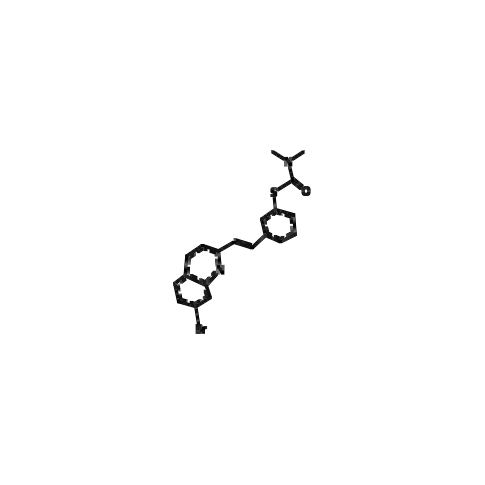 CN(C)C(=O)Sc1cccc(C=Cc2ccc3ccc(Br)cc3n2)c1